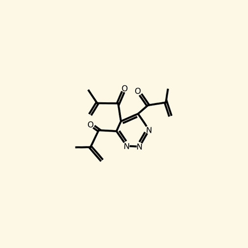 C=C(C)C(=O)c1nnnc(C(=O)C(=C)C)c1C(=O)C(=C)C